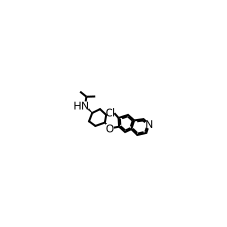 CC(C)N[C@H]1CC[C@@H](Oc2cc3ccncc3cc2Cl)CC1